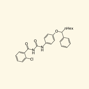 CCCCCCC(Oc1ccc(NC(=O)NC(=O)c2ccccc2Cl)cc1)c1ccccc1